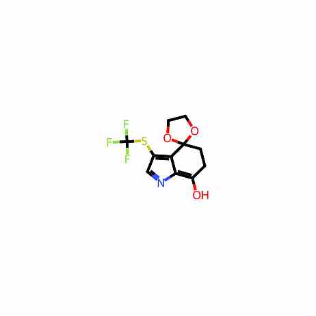 OC1=C2N=CC(SC(F)(F)F)=C2C2(CC1)OCCO2